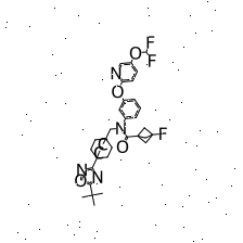 CC(C)(C)c1nc(C23CCC(CN(C(=O)C45CC(F)(C4)C5)c4cccc(Oc5ccc(OC(F)F)cn5)c4)(CC2)CC3)no1